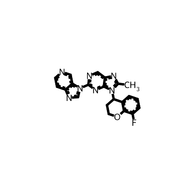 Cc1nc2cnc(-n3cnc4ccncc43)nc2n1C1CCOc2c(F)cccc21